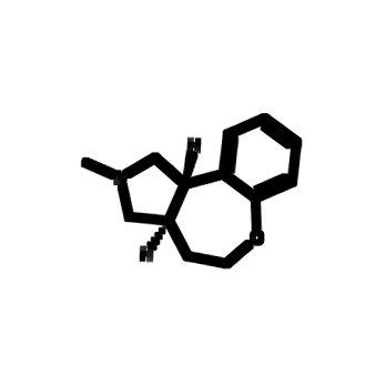 CN1C[C@@H]2CCOc3ccccc3[C@H]2C1